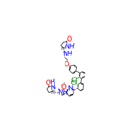 COc1nc(-c2cccc(-c3cccc(-c4ccc(OCCNC[C@@H]5CCC(=O)N5)cc4)c3Cl)c2Cl)ccc1CNC[C@@H]1CCC(=O)N1